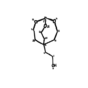 OCCC12CCOP(OCC1)OCC2